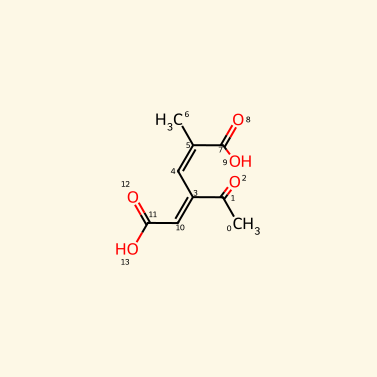 CC(=O)C(/C=C(/C)C(=O)O)=C/C(=O)O